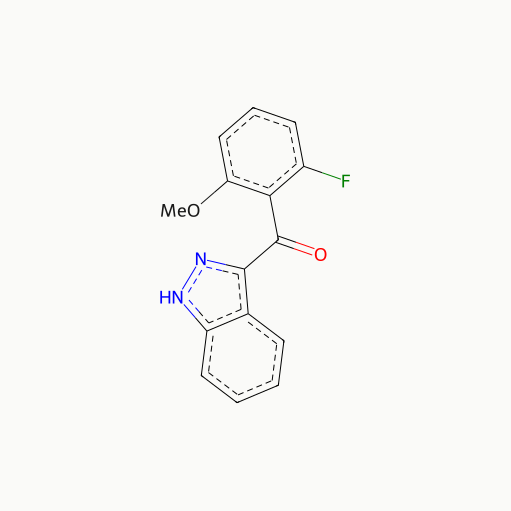 COc1cccc(F)c1C(=O)c1n[nH]c2ccccc12